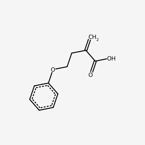 C=C(CCOc1ccccc1)C(=O)O